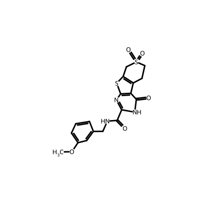 COc1cccc(CNC(=O)c2nc3sc4c(c3c(=O)[nH]2)CCS(=O)(=O)C4)c1